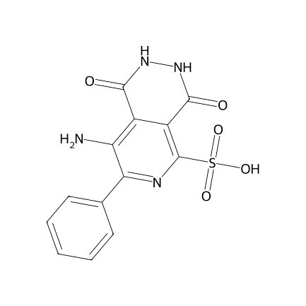 Nc1c(-c2ccccc2)nc(S(=O)(=O)O)c2c(=O)[nH][nH]c(=O)c12